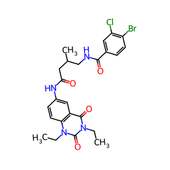 CCn1c(=O)c2cc(NC(=O)CC(C)CNC(=O)c3ccc(Br)c(Cl)c3)ccc2n(CC)c1=O